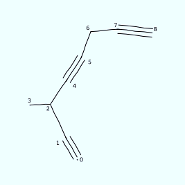 [C]#CC(C)C#CCC#C